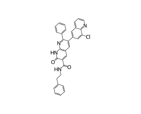 O=C(NCCc1ccccc1)c1cc2cc(-c3cc(Cl)c4ncccc4c3)c(-c3ccccc3)nc2[nH]c1=O